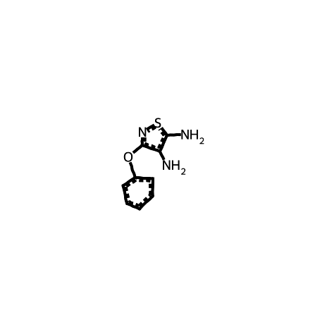 Nc1snc(Oc2ccccc2)c1N